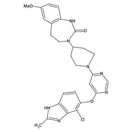 COc1ccc2c(c1)CCN(C1CCN(c3cc(Oc4ccc5[nH]c(C)nc5c4Cl)ncn3)CC1)C(=O)N2